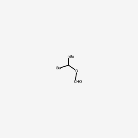 CCCCC(OC=O)C(C)CC